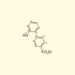 CCOC(=O)c1ccc(-c2ccccc2O)cc1